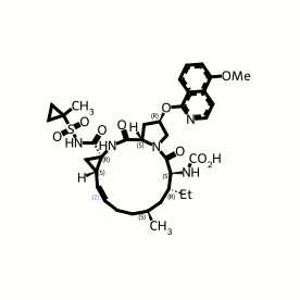 CC[C@@H]1C[C@@H](C)CC/C=C\[C@@H]2C[C@@]2(C(=O)NS(=O)(=O)C2(C)CC2)NC(=O)[C@@H]2C[C@@H](Oc3nccc4c(OC)cccc34)CN2C(=O)[C@H]1NC(=O)O